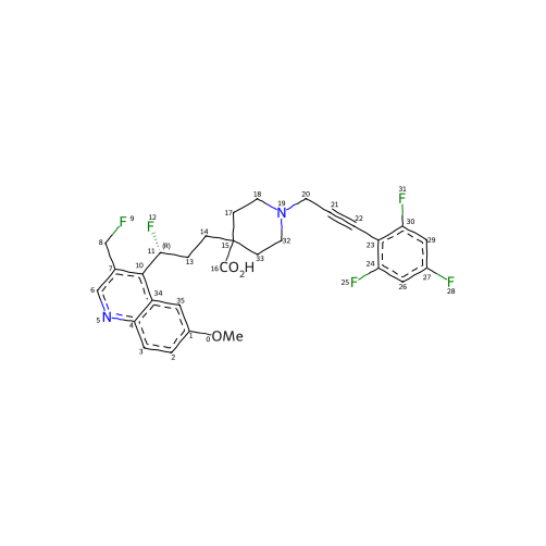 COc1ccc2ncc(CF)c([C@H](F)CCC3(C(=O)O)CCN(CC#Cc4c(F)cc(F)cc4F)CC3)c2c1